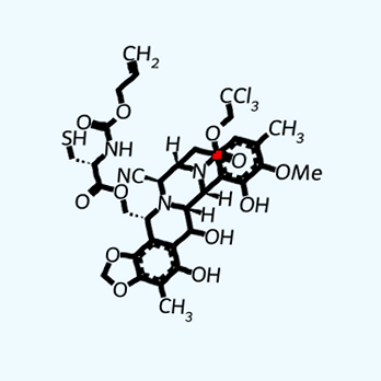 C=CCOC(=O)N[C@@H](CS)C(=O)OC[C@H]1c2c3c(c(C)c(O)c2C(O)[C@H]2[C@H]4c5c(cc(C)c(OC)c5O)C[C@@H]([C@H](C#N)N12)N4C(=O)OCC(Cl)(Cl)Cl)OCO3